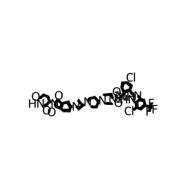 O=C1CCC(N2C(=O)c3ccc(N4CC(N5CCC(N6CCN(S(=O)(=O)Nc7ccc(Cl)cc7-c7nc8cc(C(F)(F)F)cc(Cl)c8[nH]7)CC6)CC5)C4)cc3C2=O)C(=O)N1